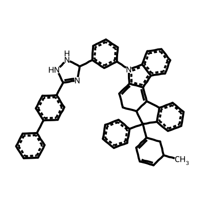 CC1C=CC=C(C2(c3ccccc3)c3ccccc3C3=c4c(n(-c5cccc(C6N=C(c7ccc(-c8ccccc8)cc7)NN6)c5)c5ccccc45)=CCC32)C1